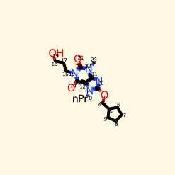 CCCn1c(OCC2CCCC2)nc2c1c(=O)n(CCCO)c(=O)n2C